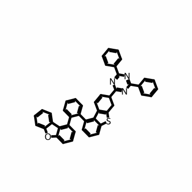 C1=CC(c2nc(-c3ccccc3)nc(-c3ccccc3)n2)Cc2sc3cccc(-c4ccccc4-c4cccc5oc6ccccc6c45)c3c21